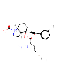 CSCC[C@H](N)C(=O)O[C@@]1(C#Cc2cccc(C)c2)CCC[C@@H]2[C@H]1CCN2C(=O)O